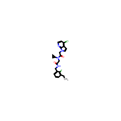 CCc1cccc(CNC(=O)CN(C(=O)Cn2ccc3c(Cl)ccnc32)C2CC2)c1F